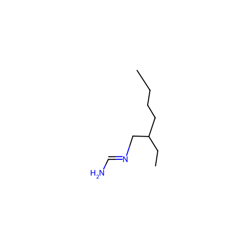 CCCCC(CC)CN=CN